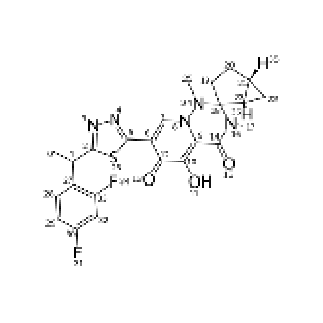 CC(c1nnc(-c2cn3c(c(O)c2=O)C(=O)N(C)C2(CC[C@@H]4C[C@@H]42)N3C)s1)c1ccc(F)cc1F